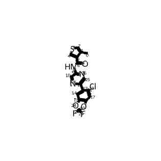 Cc1cscc1C(=O)Nc1cnc(-c2cc3c(cc2Cl)OC(F)(F)O3)cn1